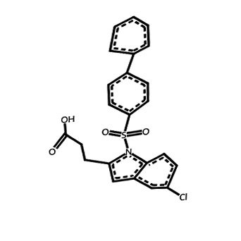 O=C(O)CCc1cc2cc(Cl)ccc2n1S(=O)(=O)c1ccc(-c2ccccc2)cc1